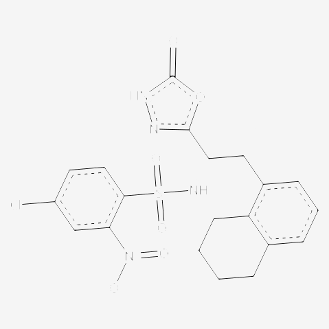 C[C@H](c1cccc2c1CCCC2)[C@H](NS(=O)(=O)c1ccc(Cl)cc1[N+](=O)[O-])c1n[nH]c(=O)o1